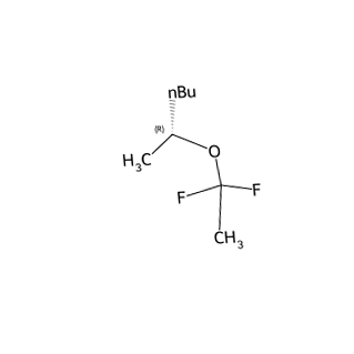 CCCC[C@@H](C)OC(C)(F)F